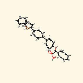 O=C(O)C(Oc1ccc(-c2ccc(-c3cc4ccccc4s3)cc2)cc1)c1ccccc1